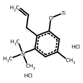 C=CCc1c([O][Ti])cc(C)cc1[Si](C)(C)C.Cl.Cl